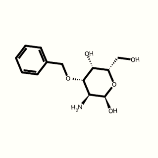 N[C@H]1[C@H](OCc2ccccc2)[C@H](O)[C@H](CO)O[C@H]1O